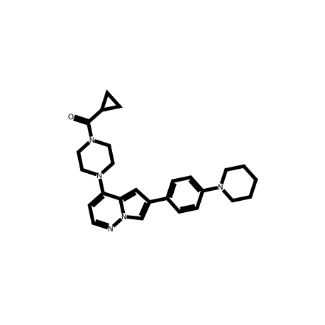 O=C(C1CC1)N1CCN(c2ccnn3cc(-c4ccc(N5CCCCC5)cc4)cc23)CC1